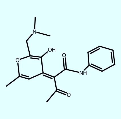 CC(=O)/C(C(=O)Nc1ccccc1)=C1\C=C(C)OC(CN(C)C)=C1O